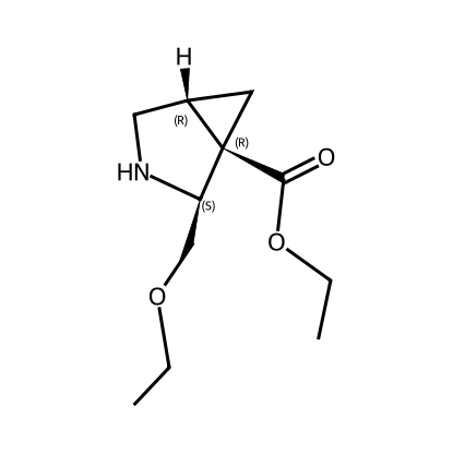 CCOC[C@H]1NC[C@@H]2C[C@@]21C(=O)OCC